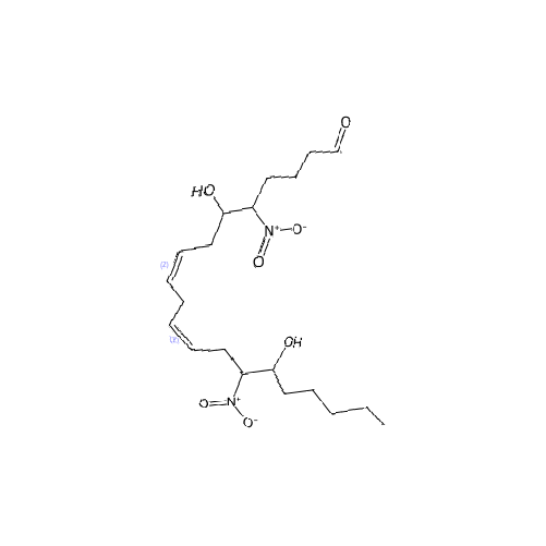 CCCCCC(O)C(C/C=C\C/C=C\CC(O)C(CCC[C]=O)[N+](=O)[O-])[N+](=O)[O-]